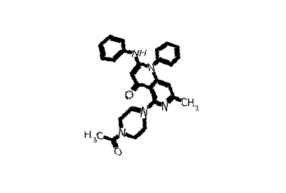 CC(=O)N1CCN(c2nc(C)cc3c2c(=O)cc(Nc2ccccc2)n3-c2ccccc2)CC1